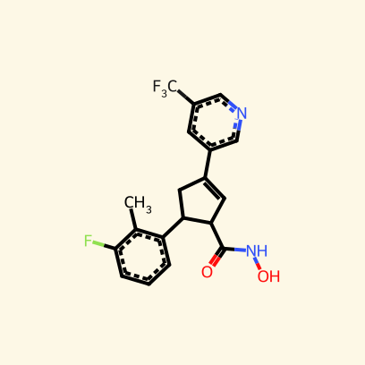 Cc1c(F)cccc1C1CC(c2cncc(C(F)(F)F)c2)=CC1C(=O)NO